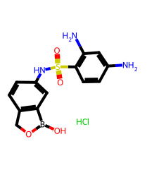 Cl.Nc1ccc(S(=O)(=O)Nc2ccc3c(c2)B(O)OC3)c(N)c1